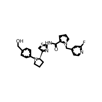 O=C(Nc1nc([C@H]2CCCN2c2ccc(CO)cc2)cs1)c1cccn1Cc1ccnc(F)c1